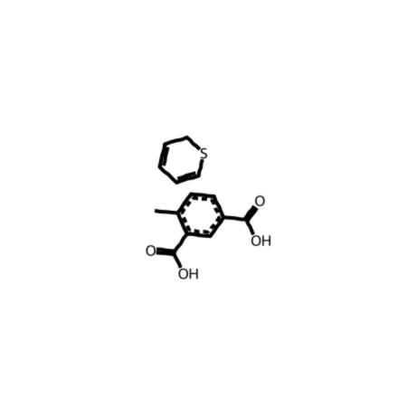 C1=CCSC=C1.Cc1ccc(C(=O)O)cc1C(=O)O